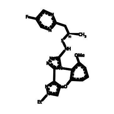 CCn1ccc(-c2nnc(NS[C@H](C)Cc3ncc(F)cn3)n2-c2c(OC)cccc2OC)n1